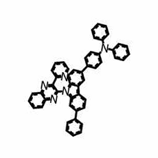 c1ccc(-c2ccc3c4cc(-c5ccc(N(c6ccccc6)c6ccccc6)cc5)ccc4n(-c4nc5ccccc5nc4-c4ccccn4)c3c2)cc1